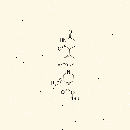 C[C@H]1CN(c2ccc(C3CCC(=O)NC3=O)cc2F)CCN1C(=O)OC(C)(C)C